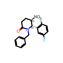 O=C1CC[C@@H]([N+](=O)[O-])[C@H](c2cc(F)ccc2F)N1Cc1ccccc1